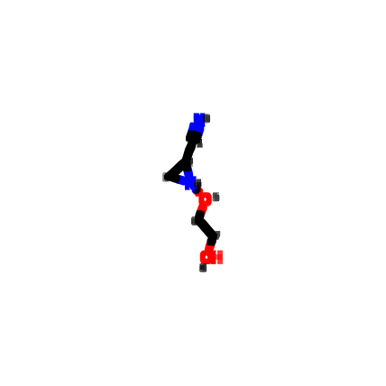 N#CC1CN1OCCO